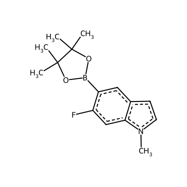 Cn1ccc2cc(B3OC(C)(C)C(C)(C)O3)c(F)cc21